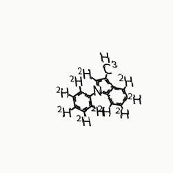 [2H]c1c([2H])c([2H])c(-n2c([2H])c(C)c3c([2H])c([2H])c([2H])c([2H])c32)c([2H])c1[2H]